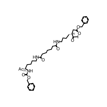 CC(=O)[C@H](CCCCNC(=O)CCCCCC(=O)NCCCC[C@H](CC(=O)OCc1ccccc1)C(=O)I)NC(=O)OCc1ccccc1